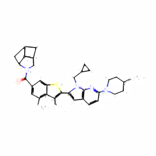 COc1cc(C(=O)N2CC3CC4CC2[C@H]43)cc2sc(-c3cc4ccc(N5CCC(OC)CC5)nc4n3CC3CC3)c(C)c12